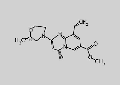 C=Cc1cc(C(=O)OC)cn2c(=O)cc(N3CCO[C@H](C)C3)nc12